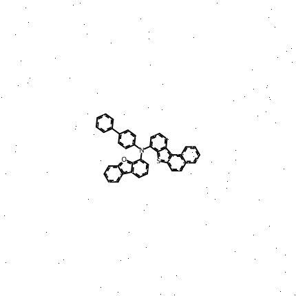 c1ccc(-c2ccc(N(c3cccc4c3oc3ccccc34)c3cccc4c3sc3ccc5ccccc5c34)cc2)cc1